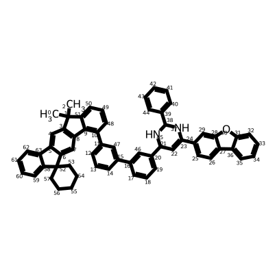 CC1(C)c2cc3c(cc2-c2c(-c4cccc(-c5cccc(C6C=C(c7ccc8c(c7)oc7ccccc78)NC(c7ccccc7)N6)c5)c4)cccc21)C1(CCCCC1)c1ccccc1-3